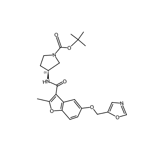 Cc1oc2ccc(OCc3cnco3)cc2c1C(=O)N[C@H]1CCN(C(=O)OC(C)(C)C)C1